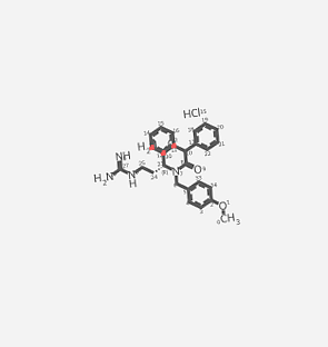 COc1ccc(CN(C(=O)C(c2ccccc2)c2ccccc2)[C@H](CCNC(=N)N)C(N)=O)cc1.Cl